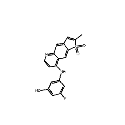 CC1=Cc2cc3nccc(Nc4cc(O)cc(F)c4)c3cc2S1(=O)=O